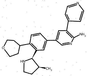 C[C@H]1CCN[C@H]1c1cc(-c2cnc(N)c(-c3ccncc3)c2)ccc1C1CCOCC1